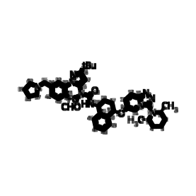 C[C@@H]1CCC[C@H](C)N1c1nnc2ccc(O[C@@H]3CC[C@H](NC(=O)N(OC=O)c4cc(C(C)(C)C)nn4-c4cc(CN5CCCC5)ccc4F)c4ccccc43)cn12